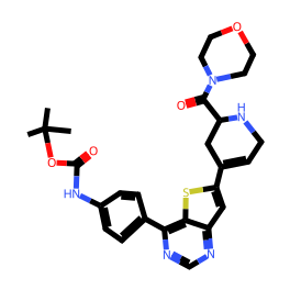 CC(C)(C)OC(=O)Nc1ccc(-c2ncnc3cc(C4=CCNC(C(=O)N5CCOCC5)C4)sc23)cc1